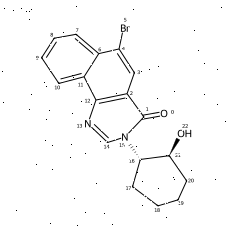 O=c1c2cc(Br)c3ccccc3c2ncn1[C@H]1CCCC[C@@H]1O